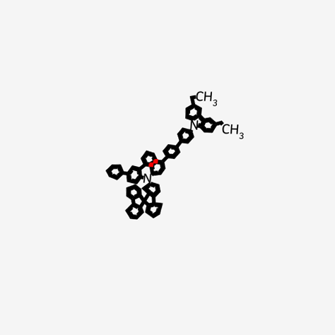 CCc1ccc2c(c1)c1cc(CC)ccc1n2-c1ccc(-c2ccc(-c3ccc(N(c4ccc5c(c4)C4(c6ccccc6-c6ccccc64)c4ccccc4-5)c4ccc(-c5ccccc5)cc4-c4ccccc4)cc3)cc2)cc1